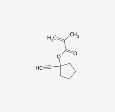 C#CC1(OC(=O)C(=C)C)CCCC1